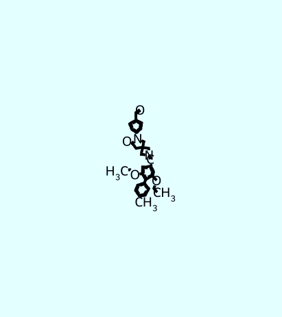 CCOc1cc(CN2CC3(CC(=O)N(c4ccc(C=O)cc4)C3)C2)cc(OCC)c1-c1ccc(C)cc1